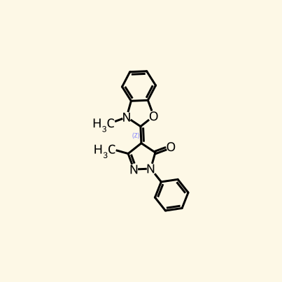 CC1=NN(c2ccccc2)C(=O)/C1=C1\Oc2ccccc2N1C